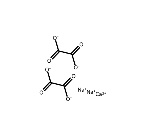 O=C([O-])C(=O)[O-].O=C([O-])C(=O)[O-].[Ca+2].[Na+].[Na+]